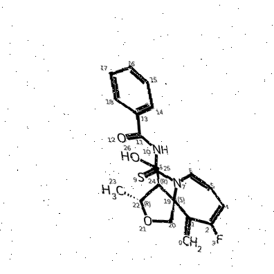 C=C1C(F)=CC=CN(C(=S)NC(=O)c2ccccc2)[C@]12CO[C@H](C)[C@H]2CO